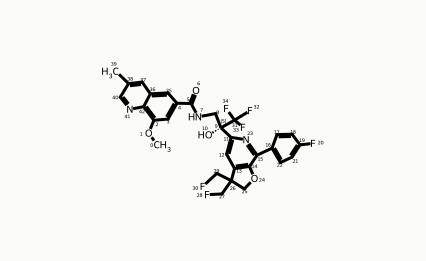 COc1cc(C(=O)NC[C@](O)(c2cc3c(c(-c4ccc(F)cc4)n2)OCC3(CF)CF)C(F)(F)F)cc2cc(C)cnc12